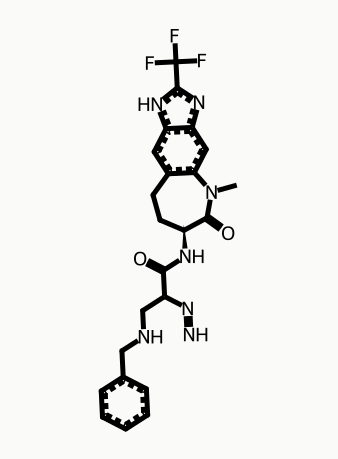 CN1C(=O)[C@@H](NC(=O)C(CNCc2ccccc2)N=N)CCc2cc3[nH]c(C(F)(F)F)nc3cc21